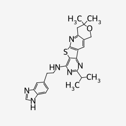 CC(C)c1nc(NCCc2ccc3[nH]cnc3c2)c2sc3nc4c(cc3c2n1)COC(C)(C)C4